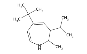 CC(C)C1C=C(C(C)(C)C)C=CNC1C